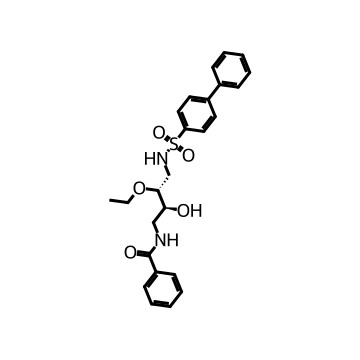 CCO[C@H](CNS(=O)(=O)c1ccc(-c2ccccc2)cc1)[C@@H](O)CNC(=O)c1ccccc1